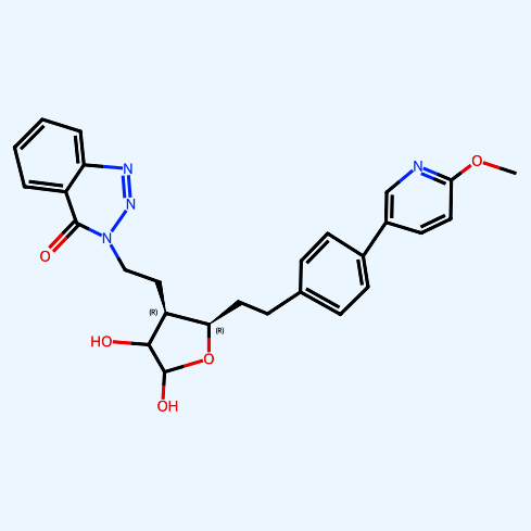 COc1ccc(-c2ccc(CC[C@H]3OC(O)C(O)[C@H]3CCn3nnc4ccccc4c3=O)cc2)cn1